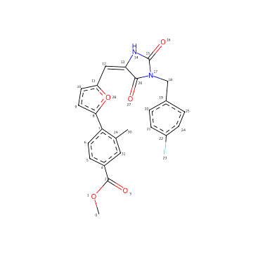 COC(=O)c1ccc(-c2ccc(C=C3NC(=O)N(Cc4ccc(F)cc4)C3=O)o2)c(C)c1